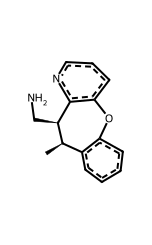 C[C@@H]1c2ccccc2Oc2cccnc2[C@@H]1CN